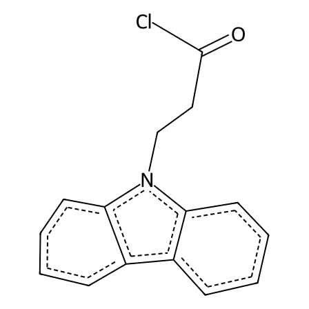 O=C(Cl)CCn1c2ccccc2c2ccccc21